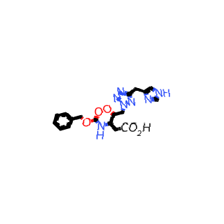 O=C(O)CC(NC(=O)OCc1ccccc1)C(=O)Cn1nnc(Cc2c[nH]cn2)n1